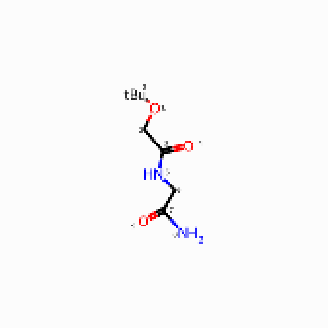 CC(C)(C)OCC(=O)NCC(N)=O